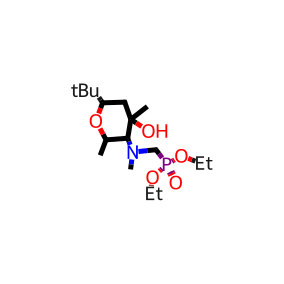 CCOP(=O)(CN(C)C1C(C)OC(C(C)(C)C)CC1(C)O)OCC